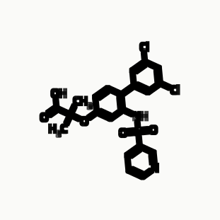 CC(C)(Oc1ccc(-c2cc(Cl)cc(Cl)c2)c(NS(=O)(=O)c2cccnc2)c1)C(=O)O